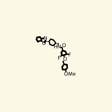 COc1ccc(COc2c(F)cc(C(=O)NC[C@H]3CC[C@H](c4nc5ccccc5o4)CC3)cc2F)cc1